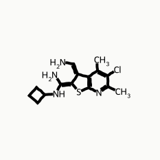 Cc1nc2sc(=C(/N)NC3CCC3)/c(=C\N)c2c(C)c1Cl